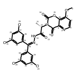 COc1ccnc2c(=O)n([C@@H](C)C(=O)NN=C(c3cc(Cl)cc(Cl)c3)c3cc(Cl)cc(Cl)c3)c(=O)oc12